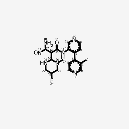 Cc1cnccc1-c1ccncc1NC(=O)C(C(N)N=O)C1NCC(F)CN1C